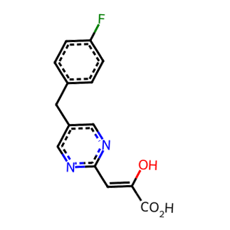 O=C(O)/C(O)=C/c1ncc(Cc2ccc(F)cc2)cn1